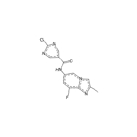 Cc1cn2cc(NC(=O)c3cnc(Cl)nc3)cc(F)c2n1